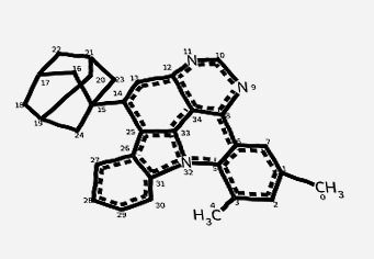 Cc1cc(C)c2c(c1)c1ncnc3cc(C45CC6CC(CC(C6)C4)C5)c4c5ccccc5n2c4c31